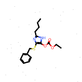 CCCCc1nc(SCc2ccccc2)c(OC(=O)OCC)[nH]1